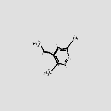 CCc1cc(C)nnc1C